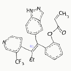 C=CC(=O)Oc1ccccc1/C(=C(\CC)c1ccncc1C(F)(F)F)c1ccc2[nH]ncc2c1